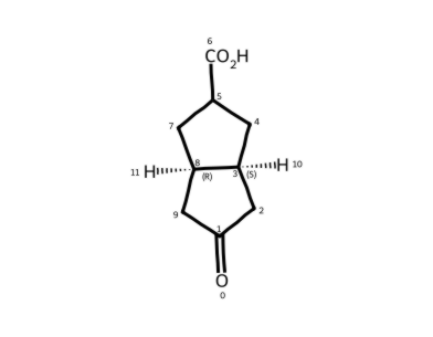 O=C1C[C@@H]2CC(C(=O)O)C[C@@H]2C1